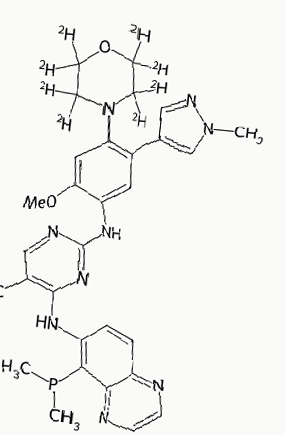 [2H]C1([2H])OC([2H])([2H])C([2H])([2H])N(c2cc(OC)c(Nc3ncc(C)c(Nc4ccc5nccnc5c4P(C)C)n3)cc2-c2cnn(C)c2)C1([2H])[2H]